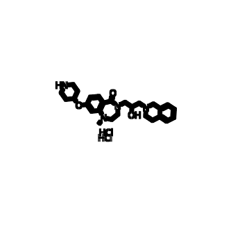 CN1CCN(CC(O)CN2CCc3ccccc3C2)C(=O)c2ccc(OC3CCNCC3)cc21.Cl.Cl